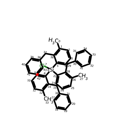 Cc1cccc([Si](Cl)(c2cccc(C)c2Cc2ccccc2)c2cccc(C)c2Cc2ccccc2)c1Cc1ccccc1